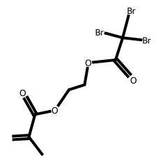 C=C(C)C(=O)OCCOC(=O)C(Br)(Br)Br